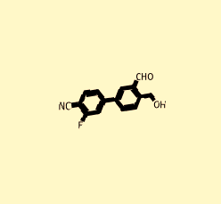 N#Cc1ccc(-c2ccc(CO)c(C=O)c2)cc1F